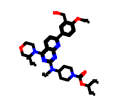 COc1ccc(-c2ccc3c(N4CCOC[C@@H]4C)nc(N(C)C4CCN(C(=O)OC(C)C)CC4)nc3n2)cc1CO